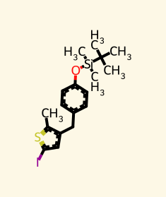 Cc1sc(I)cc1Cc1ccc(O[Si](C)(C)C(C)(C)C)cc1